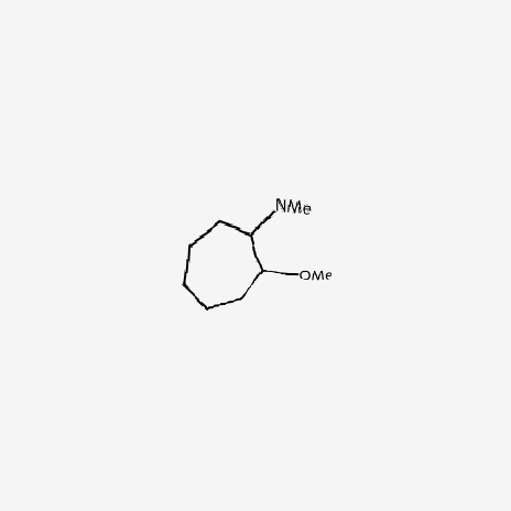 CNC1CCCCCC1OC